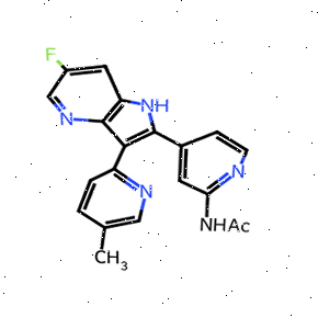 CC(=O)Nc1cc(-c2[nH]c3cc(F)cnc3c2-c2ccc(C)cn2)ccn1